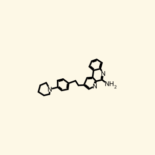 Nc1nc2ccccc2c2cc(CCc3ccc(N4CCCCC4)cc3)cnc12